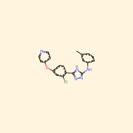 Cc1cccc(Nc2nnc(-c3ccc(Oc4ccncc4)cc3Cl)[nH]2)c1